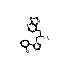 CC(Cc1ccnc2[nH]cnc12)Cn1ccnc1-c1ccccc1Cl